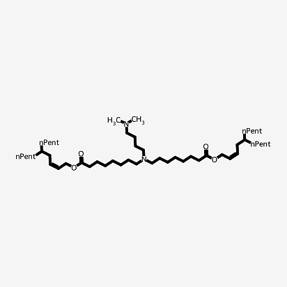 CCCCCC(C/C=C\COC(=O)CCCCCCCN(CCCCCCCC(=O)OC/C=C\CC(CCCCC)CCCCC)CCCCN(C)C)CCCCC